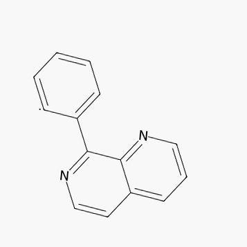 [c]1ccccc1-c1nccc2cccnc12